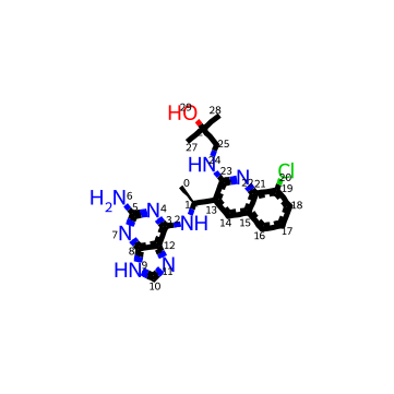 C[C@H](Nc1nc(N)nc2[nH]cnc12)c1cc2cccc(Cl)c2nc1NCC(C)(C)O